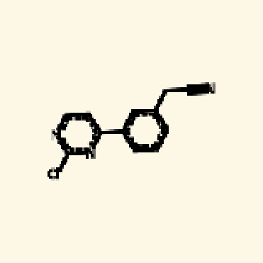 N#CCc1cccc(-c2ccnc(Cl)n2)c1